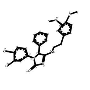 COc1ccc(CCNC2=NC(=O)N(c3ccc(Cl)c(Cl)c3)C2c2ccccc2)cc1OC